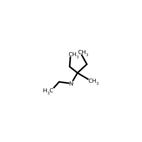 CC[N]C(C)(CC)CC